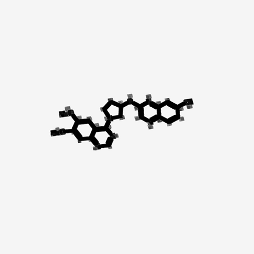 COc1cc2ncnc(N3CCC(Oc4cnc5ccc(C#N)cc5n4)C3)c2cc1OC